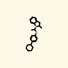 CC1Cc2ccccc2N1C(C)Oc1ccc(C2CCCCC2)cc1